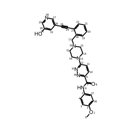 COc1ccc(NC(=O)c2ccc(N3CCN(Cc4ccccc4C#Cc4cncc(O)c4)CC3)nn2)cc1